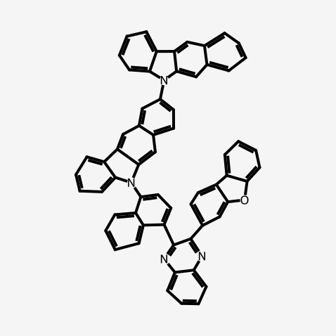 c1ccc2cc3c(cc2c1)c1ccccc1n3-c1ccc2cc3c(cc2c1)c1ccccc1n3-c1ccc(-c2nc3ccccc3nc2-c2ccc3c(c2)oc2ccccc23)c2ccccc12